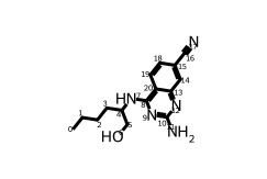 CCCCC(CO)Nc1nc(N)nc2cc(C#N)ccc12